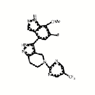 COc1c(F)cc(-c2[nH]nc3c2CN(c2ncc(C(F)(F)F)cn2)CC3)c2cn[nH]c12